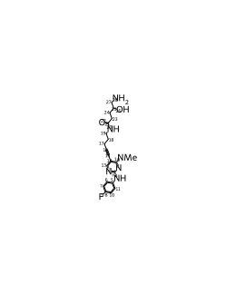 CNc1nc(Nc2ccc(F)cc2)ncc1C#CCCCNC(=O)CC[C@H](O)CN